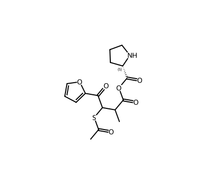 CC(=O)SC(C(=O)c1ccco1)C(C)C(=O)OC(=O)[C@@H]1CCCN1